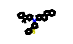 CC1(C)c2ccccc2-c2ccc(N(c3ccc4c(ccc5c6ccccc6ccc45)c3)c3ccc4sc5ccccc5c4c3)cc21